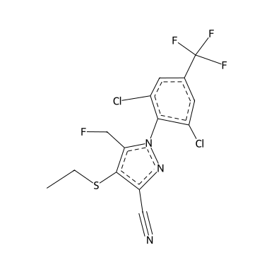 CCSc1c(C#N)nn(-c2c(Cl)cc(C(F)(F)F)cc2Cl)c1CF